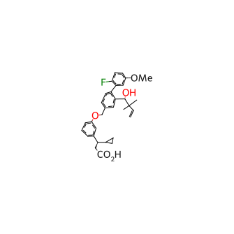 C=CC(C)(C)[C@@H](O)c1cc(COc2cccc([C@H](CC(=O)O)C3CC3)c2)ccc1-c1cc(OC)ccc1F